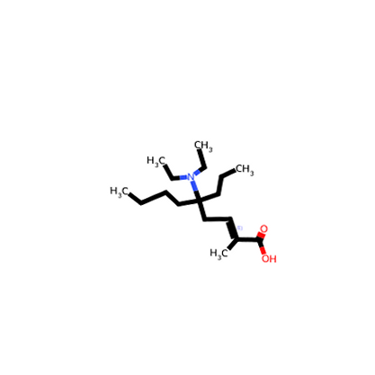 CCCCC(C/C=C(\C)C(=O)O)(CCC)N(CC)CC